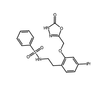 CC(C)c1ccc(CCNS(=O)(=O)c2ccccc2)c(OCc2n[nH]c(=O)o2)c1